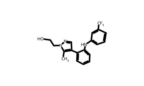 Cc1c(-c2ccccc2Nc2cccc(C(F)(F)F)c2)cnn1CCO